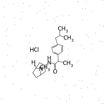 CC(C)Cc1ccc(C(C)C(=O)NC2CC3CC[C@H](C2)N3C)cc1.Cl